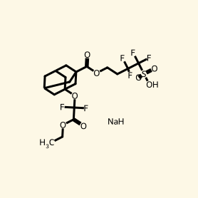 CCOC(=O)C(F)(F)OC12CC3CC(C1)CC(C(=O)OCCC(F)(F)C(F)(F)S(=O)(=O)O)(C3)C2.[NaH]